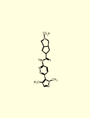 Cc1cnn(C)c1-c1ccc(NC(=O)C2CC3CN(C(=O)O)CC3C2)nn1